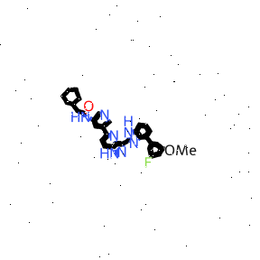 COc1cc(F)cc(-c2cccc3[nH]c(-c4n[nH]c5ccc(-c6cncc(NC(=O)CC7CCCCC7)c6)nc45)nc23)c1